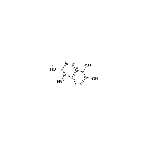 Oc1ccc2c(S)c(O)ccc2c1S